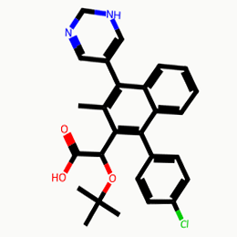 Cc1c(C(OC(C)(C)C)C(=O)O)c(-c2ccc(Cl)cc2)c2ccccc2c1C1=CNCN=C1